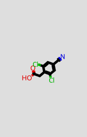 N#Cc1cc(Cl)c(CC(=O)O)c(Cl)c1